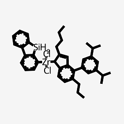 CCCCC1=Cc2c(ccc(CCC)c2-c2cc(C(C)C)cc(C(C)C)c2)[CH]1[Zr]([Cl])([Cl])[c]1cccc2c1[SiH2]c1ccccc1-2